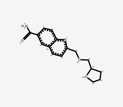 NC(=O)c1ccc2nc(COCC3CCCO3)ccc2c1